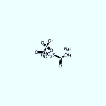 O=S(O)S(=O)(=O)O.O=S(O)S(=O)(=O)[O-].[Na+]